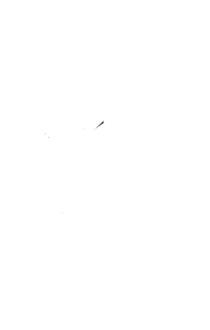 COc1ccc([C@@H]2Cc3c(cccc3C(F)(F)F)NC(=O)[C@H]2C(=O)O)cc1